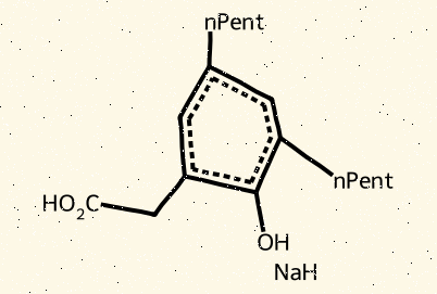 CCCCCc1cc(CCCCC)c(O)c(CC(=O)O)c1.[NaH]